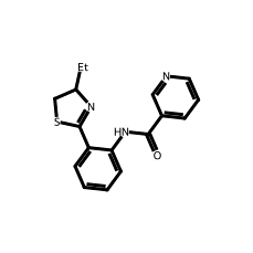 CCC1CSC(c2ccccc2NC(=O)c2cccnc2)=N1